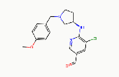 COc1ccc(CN2CC[C@@H](Nc3ncc(C=O)cc3Cl)C2)cc1